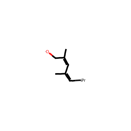 CC(=CC(C)C)C=C(C)C[O]